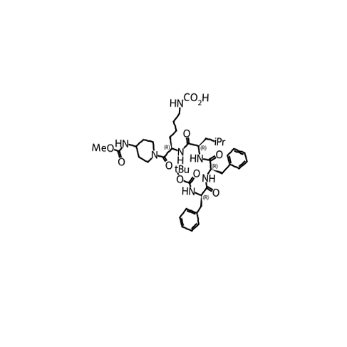 COC(=O)NC1CCN(C(=O)[C@@H](CCCCNC(=O)O)NC(=O)[C@@H](CC(C)C)NC(=O)[C@@H](Cc2ccccc2)NC(=O)[C@@H](Cc2ccccc2)NC(=O)OC(C)(C)C)CC1